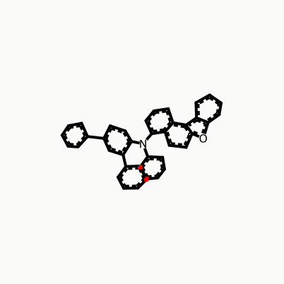 c1ccc(-c2ccc(N(c3ccccc3)c3cccc4c3ccc3oc5ccccc5c34)c(-c3ccccc3)c2)cc1